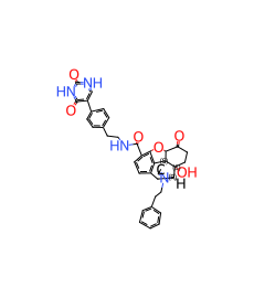 O=C(NCCc1ccc(-c2c[nH]c(=O)[nH]c2=O)cc1)c1ccc2c3c1OC1C(=O)CC[C@@]4(O)[C@@H](C2)N(CCc2ccccc2)CC[C@]314